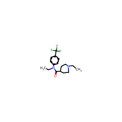 CCN1CCC(C(=O)N(CC)c2ccc(C(F)(F)F)cc2)CC1